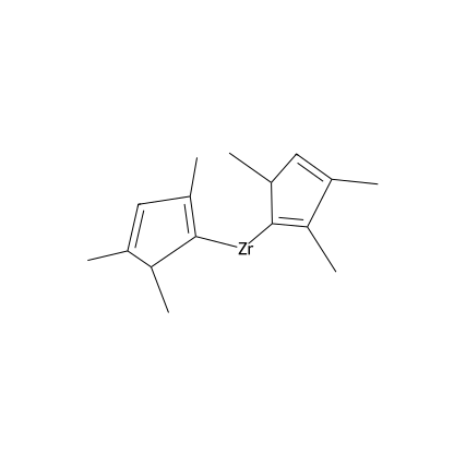 CC1=CC(C)[C]([Zr][C]2=C(C)C=C(C)C2C)=C1C